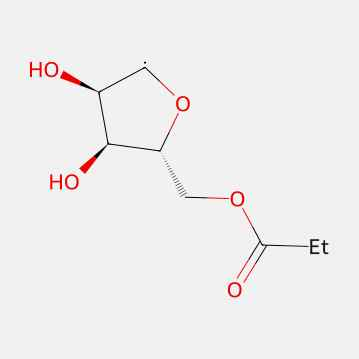 CCC(=O)OC[C@H]1O[CH][C@H](O)[C@@H]1O